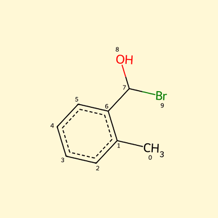 Cc1ccccc1C(O)Br